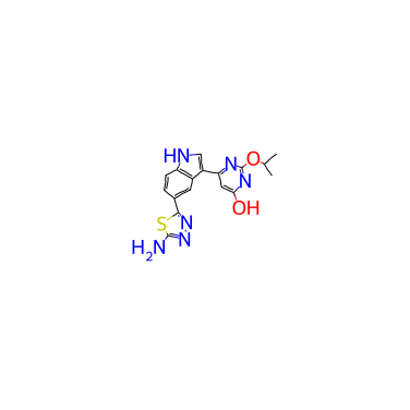 CC(C)Oc1nc(O)cc(-c2c[nH]c3ccc(-c4nnc(N)s4)cc23)n1